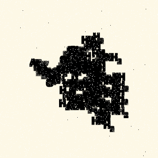 CC(=O)N[C@H](CCCNC(=N)N)C(=O)N[C@H](CCCNC(=N)N)C(=O)N[C@H](CCCNC(=N)N)C(=O)N[C@H](CCCNC(=N)N)C(=O)N[C@H](CCCNC(=N)N)C(=O)N[C@H](CCCNC(=N)N)C(=O)N[C@H](CCCNC(=N)N)C(=O)N[C@H](CCCNC(=N)N)C(=O)N[C@H](CCCNC(=N)N)C(=O)N[C@H](CS)C(=O)NCCOCC(=O)N[C@@H](Cc1ccc(C(C)=O)cc1)C(N)=O